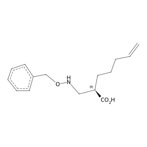 C=CCCC[C@H](CNOCc1ccccc1)C(=O)O